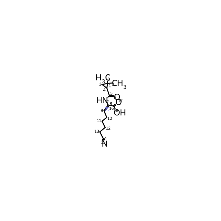 CC1(C)CC1C(=O)N/C(=C/CCCCC#N)C(=O)O